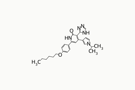 CCCCCCOc1ccc(-c2cc(-c3ccn(C(C)C)c3)c(-c3nnc[nH]3)c(=O)[nH]2)cc1